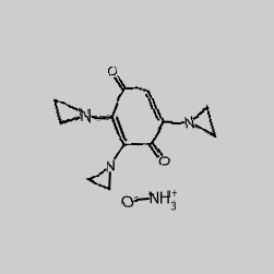 O=C1C=C(N2CC2)C(=O)C(N2CC2)=C1N1CC1.[NH3+][O-]